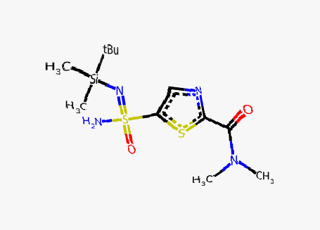 CN(C)C(=O)c1ncc(S(N)(=O)=N[Si](C)(C)C(C)(C)C)s1